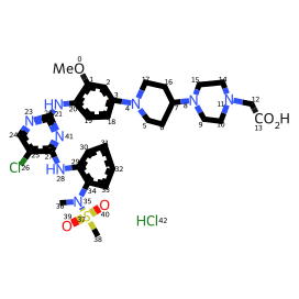 COc1cc(N2CCC(N3CCN(CC(=O)O)CC3)CC2)ccc1Nc1ncc(Cl)c(Nc2ccccc2N(C)S(C)(=O)=O)n1.Cl